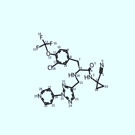 N#CC1(NC(=O)[C@H](Cc2ccc(OC(F)(F)F)c(Cl)c2)NCc2cnn(-c3ccncc3)n2)CC1